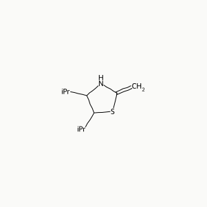 C=C1NC(C(C)C)C(C(C)C)S1